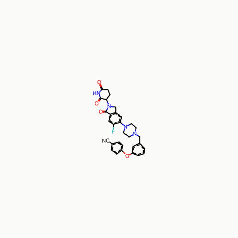 N#Cc1ccc(Oc2cccc(CN3CCN(c4cc5c(cc4F)C(=O)N(C4CCC(=O)NC4=O)C5)CC3)c2)cc1